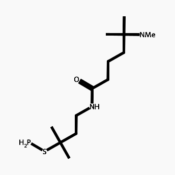 CNC(C)(C)CCCC(=O)NCCC(C)(C)SP